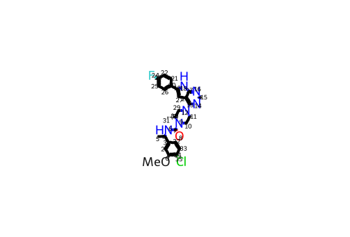 COc1cc(C(C)NC(=O)N2CCN(c3ncnc4[nH]c(-c5ccc(F)cc5)cc34)C[C@H]2C)ccc1Cl